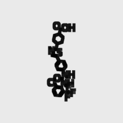 O=C(Nc1ccc(-c2cnc(C3CCC(C(=O)O)CC3)s2)cc1)Nc1c(Cl)cccc1C(F)(F)F